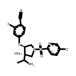 CC(N)[C@]1(O)CN(S(=O)(=O)c2ccc(Cl)cn2)C[C@@H]1Oc1ccc(C#N)c(F)c1